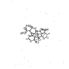 O=C(O)C1CCN(c2n[nH]c3c2C(S(=O)(=O)c2c(Cl)cccc2Cl)CCC3)CC1O